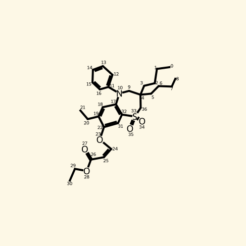 CCCCC1(CCCC)CN(c2ccccc2)c2cc(CC)c(O/C=C\C(=O)OCC)cc2S(=O)(=O)C1